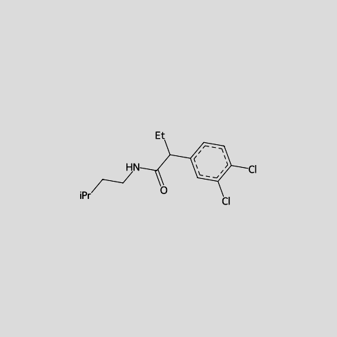 CCC(C(=O)NCCC(C)C)c1ccc(Cl)c(Cl)c1